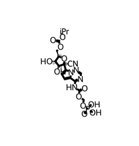 CC(C)OC(=O)OC[C@H]1O[C@@](C#N)(c2ccc3c(NC(=O)OCOP(=O)(O)O)ncnn23)[C@H](O)[C@@H]1O